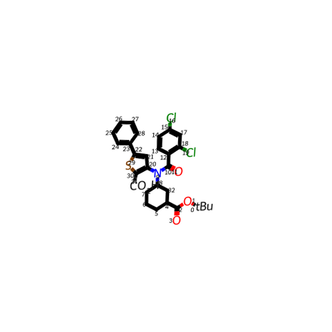 CC(C)(C)OC(=O)C1CCCC(N(C(=O)c2ccc(Cl)cc2Cl)c2cc(-c3ccccc3)sc2C(=O)O)C1